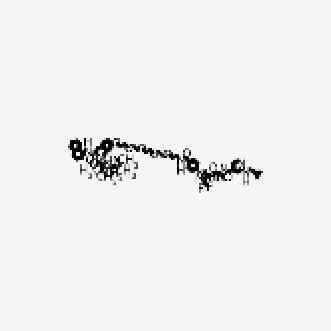 CN[C@@H](C)C(=O)N[C@H](C(=O)N1Cc2cc(OCCOCCOCCOCCOCCNC(=O)c3ccc(-n4cc(NC(=O)c5coc(-c6ccnc(NCC7CC7)c6)n5)c(C(F)F)n4)cc3)ccc2C[C@H]1C(=O)N[C@@H]1CCCc2ccccc21)C(C)(C)C